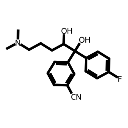 CN(C)CCCC(O)C(O)(c1ccc(F)cc1)c1cccc(C#N)c1